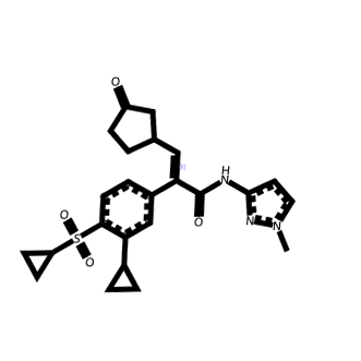 Cn1ccc(NC(=O)/C(=C/C2CCC(=O)C2)c2ccc(S(=O)(=O)C3CC3)c(C3CC3)c2)n1